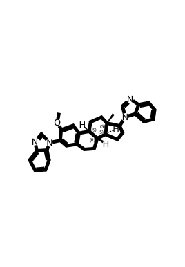 COc1cc2c(cc1-n1cnc3ccccc31)CC[C@@H]1[C@@H]2CC[C@]2(C)C(n3cnc4ccccc43)CC[C@@H]12